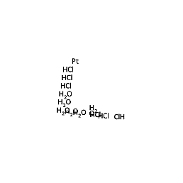 Cl.Cl.Cl.Cl.Cl.Cl.O.O.O.O.O.O.[Pt]